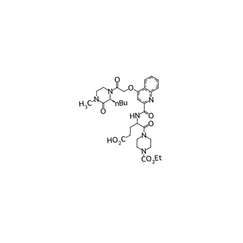 CCCC[C@H]1C(=O)N(C)CCN1C(=O)COc1cc(C(=O)NC(CCC(=O)O)C(=O)N2CCN(C(=O)OCC)CC2)nc2ccccc12